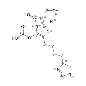 O=C(O)OC1=C(CCCCn2cnnn2)S[C@@H]2[C@@H](CO)C(=O)N12